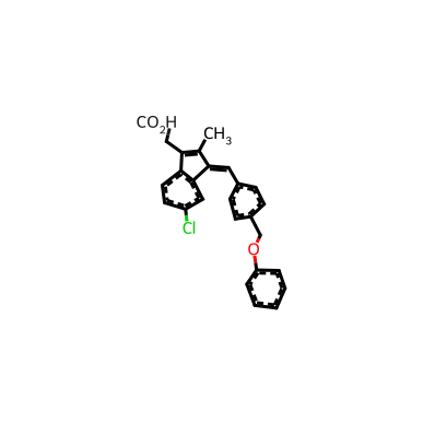 CC1=C(CC(=O)O)c2ccc(Cl)cc2/C1=C\c1ccc(COc2ccccc2)cc1